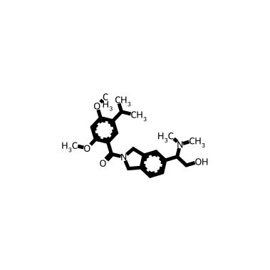 COc1cc(OC)c(C(C)C)cc1C(=O)N1Cc2ccc(C(CO)N(C)C)cc2C1